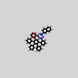 c1ccc(-c2nc(-c3ccc4ccccc4c3)nc(-c3ccccc3-c3cc(-c4ccccc4)c(-c4ccccc4)c(-c4ccccc4)c3-c3ccccc3)n2)cc1